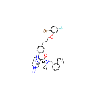 Cc1ccccc1CN(C(=O)C1=C(c2ccc(CCCOc3cc(F)ccc3Br)cc2)CC2CNC[C@H]1N2)C1CC1